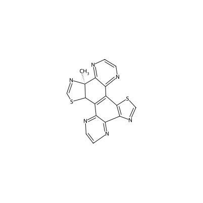 C[C@@]12N=CSC1c1c(c3scnc3c3nccnc13)-c1nccnc12